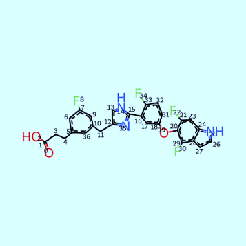 O=C(O)CCc1cc(F)cc(Cc2c[nH]c(-c3cc(Oc4c(F)cc5[nH]ccc5c4F)ccc3F)n2)c1